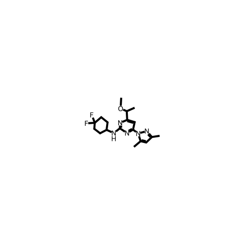 COC(C)c1cc(-n2nc(C)cc2C)nc(NC2CCC(F)(F)CC2)n1